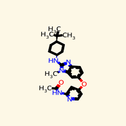 CC(=O)Nc1cc(Oc2ccc3nc(N[C@H]4CC[C@H](C(C)(C)C)CC4)n(C)c3c2)ccn1